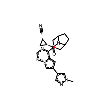 Cn1cc(-c2cc3c(N4CC5CCC(C4)N5C(=O)[C@H]4C[C@@H]4C#N)ncnn3c2)cn1